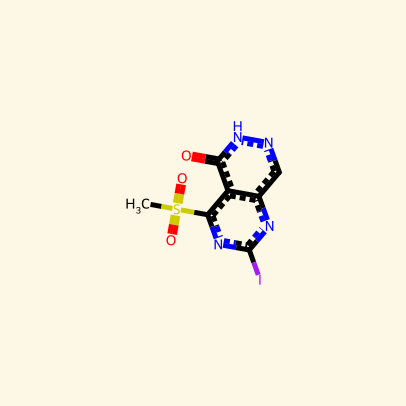 CS(=O)(=O)c1nc(I)nc2cn[nH]c(=O)c12